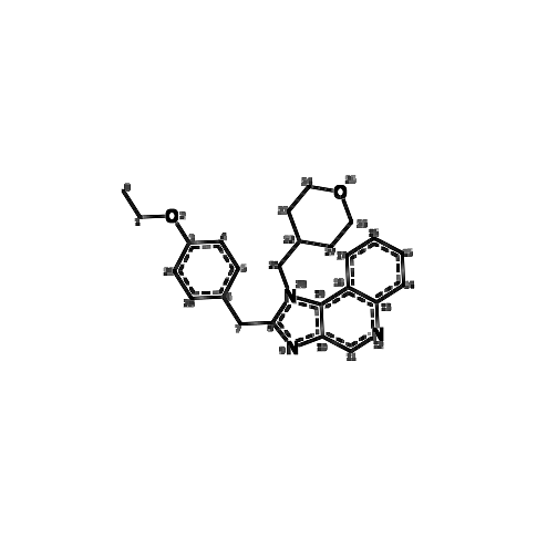 CCOc1ccc(Cc2nc3cnc4ccccc4c3n2CC2CCOCC2)cc1